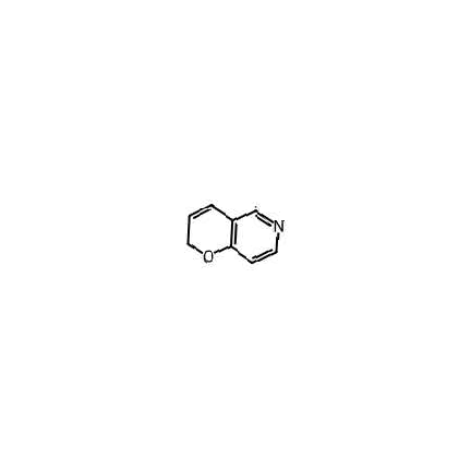 [c]1nccc2c1C=CCO2